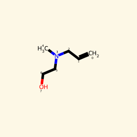 C=CCN(C)CCO